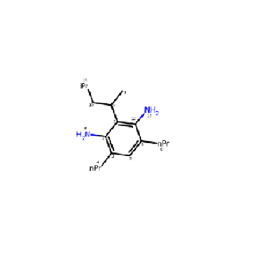 CCCc1cc(CCC)c(N)c(C(C)CC(C)C)c1N